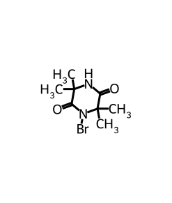 CC1(C)NC(=O)C(C)(C)N(Br)C1=O